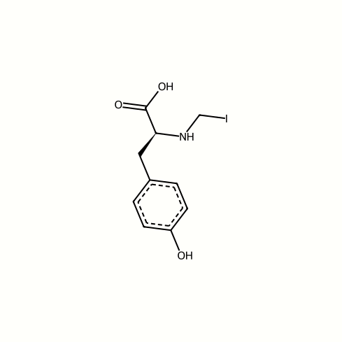 O=C(O)[C@H](Cc1ccc(O)cc1)NCI